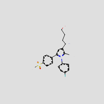 Cc1c([C@@H](N)CCCO)cc(-c2ccc(S(C)(=O)=O)cc2)n1-c1ccc(F)cc1